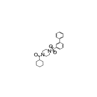 O=C(C1CCCCC1)N1CCN(S(=O)(=O)c2cccc(-c3ccccc3)c2)CC1